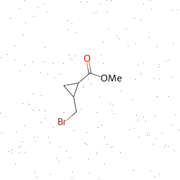 COC(=O)C1CC1CBr